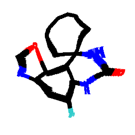 O=C1Nc2c(F)cc3ncoc3c2C2(CCCCC2)N1